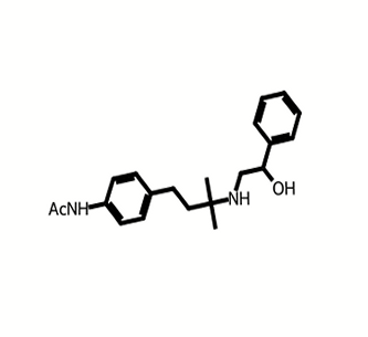 CC(=O)Nc1ccc(CCC(C)(C)NCC(O)c2ccccc2)cc1